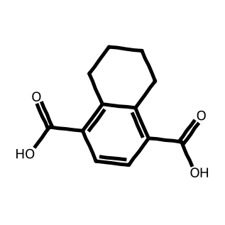 O=C(O)c1ccc(C(=O)O)c2c1CCCC2